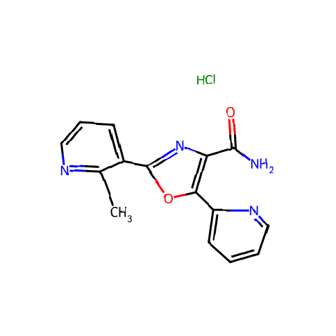 Cc1ncccc1-c1nc(C(N)=O)c(-c2ccccn2)o1.Cl